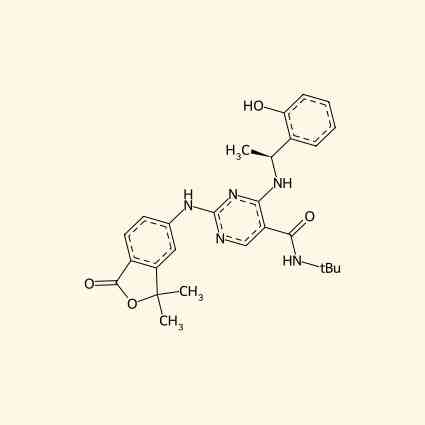 C[C@H](Nc1nc(Nc2ccc3c(c2)C(C)(C)OC3=O)ncc1C(=O)NC(C)(C)C)c1ccccc1O